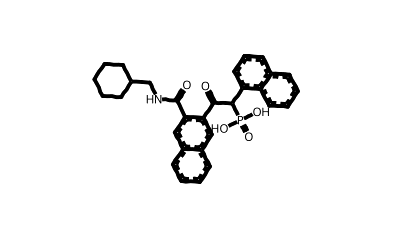 O=C(NCC1CCCCC1)c1cc2ccccc2cc1C(=O)C(c1cccc2ccccc12)P(=O)(O)O